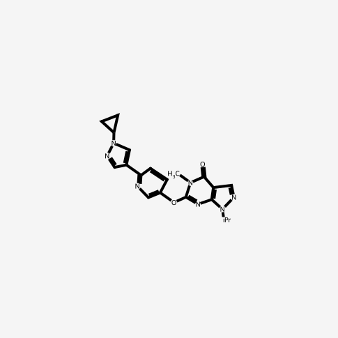 CC(C)n1ncc2c(=O)n(C)c(Oc3ccc(-c4cnn(C5CC5)c4)nc3)nc21